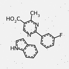 Cc1nc(-c2cccc(F)c2)ncc1C(=O)O.c1ccc2[nH]ccc2c1